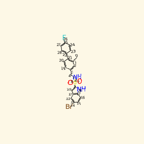 Cc1cc(CNS(=O)(=O)c2cc3cc(Br)ccc3[nH]2)ccc1-c1ccc(F)cc1